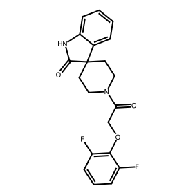 O=C(COc1c(F)cccc1F)N1CCC2(CC1)C(=O)Nc1ccccc12